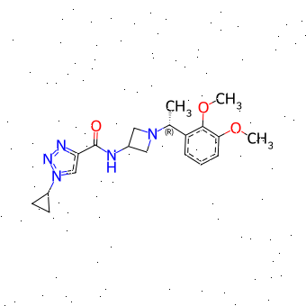 COc1cccc([C@@H](C)N2CC(NC(=O)c3cn(C4CC4)nn3)C2)c1OC